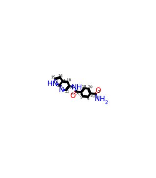 NC(=O)c1ccc(C(=O)Nc2cnc3[nH]ccc3c2)cc1